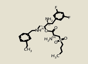 CCCCS(=O)(=O)C[C@H](N)C(=O)O[C@H](CNCc1cccc(CC)c1)[C@@H](N)Cc1cc(F)cc(F)c1